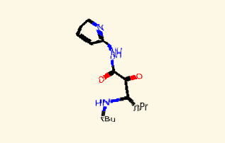 CCCC(NC(C)(C)C)C(=O)C(=O)NC1=NCC=C1